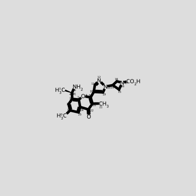 Cc1cc([C@@H](C)N)c2oc(-c3cnn(C4CN(C(=O)O)C4)c3)c(C)c(=O)c2c1